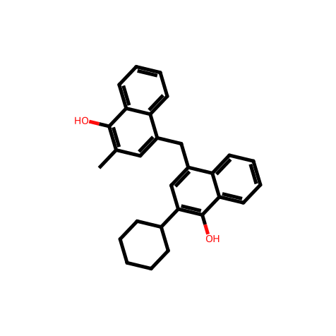 Cc1cc(Cc2cc(C3CCCCC3)c(O)c3ccccc23)c2ccccc2c1O